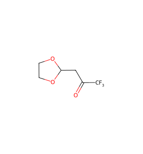 O=C(CC1OCCO1)C(F)(F)F